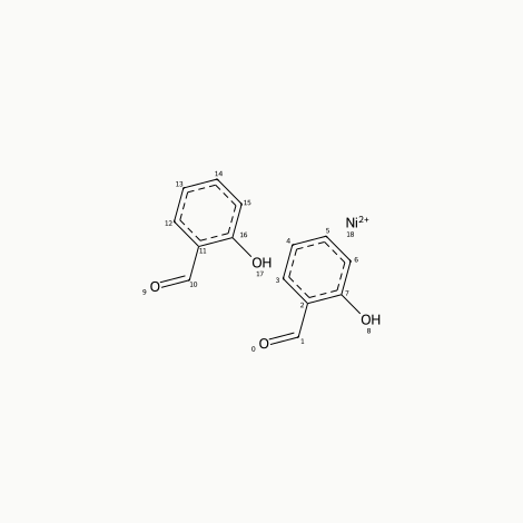 O=Cc1ccccc1O.O=Cc1ccccc1O.[Ni+2]